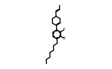 C/C=C/C1CC=C(c2ccc(CCCCCCC)c(F)c2F)CC1